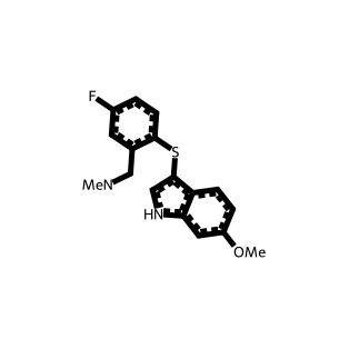 CNCc1cc(F)ccc1Sc1c[nH]c2cc(OC)ccc12